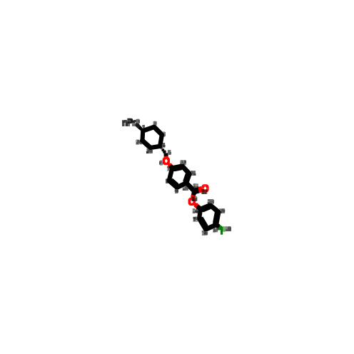 CCC[C@H]1CC[C@H](COc2ccc(C(=O)Oc3ccc(F)cc3)cc2)CC1